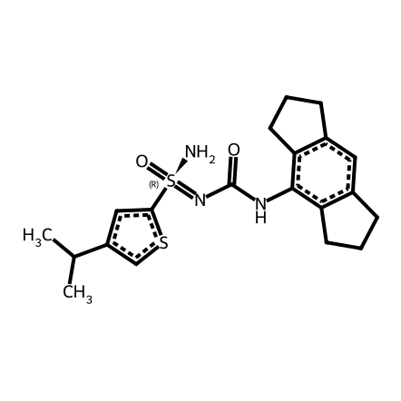 CC(C)c1csc([S@](N)(=O)=NC(=O)Nc2c3c(cc4c2CCC4)CCC3)c1